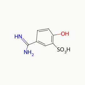 N=C(N)c1ccc(O)c(S(=O)(=O)O)c1